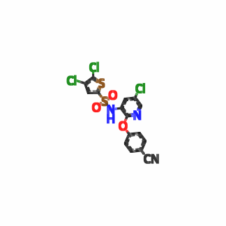 N#Cc1ccc(Oc2ncc(Cl)cc2NS(=O)(=O)c2cc(Cl)c(Cl)s2)cc1